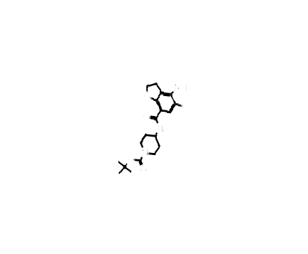 CC(C)(C)OC(=O)N1CCC(NC(=O)c2cc(Cl)c(N)c3c2OCC3)CC1